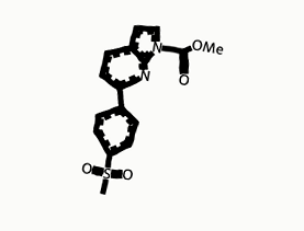 COC(=O)n1ccc2ccc(-c3ccc(S(C)(=O)=O)cc3)nc21